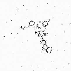 CCc1cccc(CNC[C@@H](O)[C@H](Cc2cc(F)cc(F)c2)NC(=O)c2cc3c(s2)=NC2=CC=CCC=32)c1